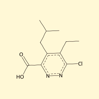 CCc1c(Cl)nnc(C(=O)O)c1CC(C)C